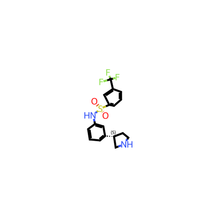 O=S(=O)(Nc1cccc([C@@H]2CCNC2)c1)c1cccc(C(F)(F)F)c1